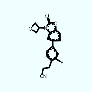 N#CCCc1ccc(-c2ccc3oc(=O)n(C4COC4)c3c2)cc1F